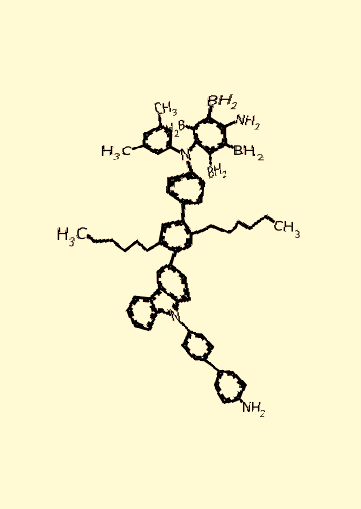 Bc1c(B)c(N(c2ccc(-c3cc(CCCCCC)c(-c4ccc5c(c4)c4ccccc4n5-c4ccc(-c5ccc(N)cc5)cc4)cc3CCCCCC)cc2)c2cc(C)cc(C)c2)c(B)c(B)c1N